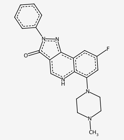 CN1CCN(c2cc(F)cc3c4nn(-c5ccccc5)c(=O)c-4c[nH]c23)CC1